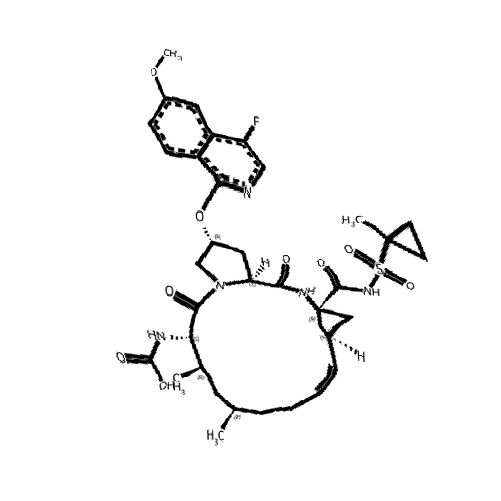 COc1ccc2c(O[C@@H]3C[C@H]4C(=O)N[C@]5(C(=O)NS(=O)(=O)C6(C)CC6)C[C@H]5C=CCC[C@@H](C)C[C@@H](C)[C@H](NC(=O)O)C(=O)N4C3)ncc(F)c2c1